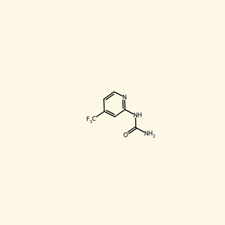 NC(=O)Nc1cc(C(F)(F)F)ccn1